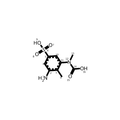 Cc1c(N)cc(S(=O)(=O)O)cc1N(C)C(=O)O